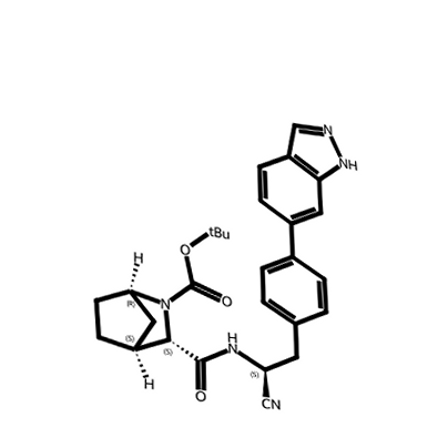 CC(C)(C)OC(=O)N1[C@@H]2CC[C@@H](C2)[C@H]1C(=O)N[C@H](C#N)Cc1ccc(-c2ccc3cn[nH]c3c2)cc1